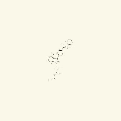 C=CC(=O)N[C@H]1C[C@@H](n2nc(-c3ccc(C(=O)Nc4ccccn4)cc3)c3c(N)ncnc32)C1